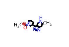 COC(=O)N1CCCC(c2ncnc3c2CN[C@H](C)C3)C1